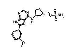 COc1cccc(-c2nc3c(N[C@H]4CC[C@H](COS(N)(=O)=O)C4)ncnc3[nH]2)c1